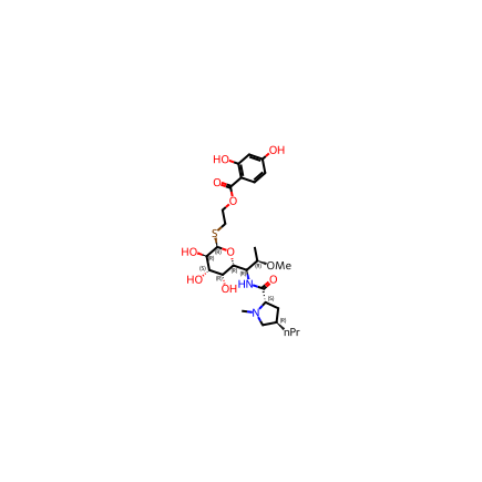 CCC[C@@H]1C[C@@H](C(=O)N[C@@H]([C@H]2O[C@H](SCCOC(=O)c3ccc(O)cc3O)[C@H](O)[C@@H](O)[C@H]2O)[C@@H](C)OC)N(C)C1